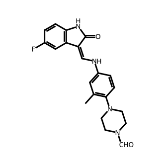 Cc1cc(N/C=C2\C(=O)Nc3ccc(F)cc32)ccc1N1CCN(C=O)CC1